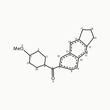 COC1CCC(C(=O)c2ccc3nc4c(cc3c2)CCC4)CC1